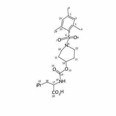 Cc1cc(C)c(S(=O)(=O)N2CCC(OC(=O)NC(CC(C)C)C(=O)O)CC2)c(C)c1